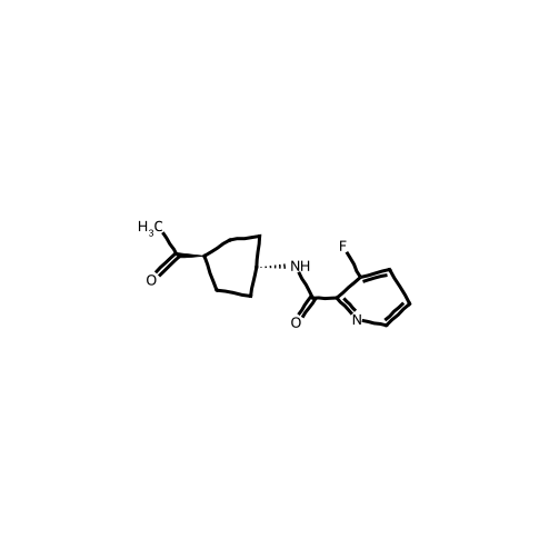 CC(=O)[C@H]1CC[C@H](NC(=O)c2ncccc2F)CC1